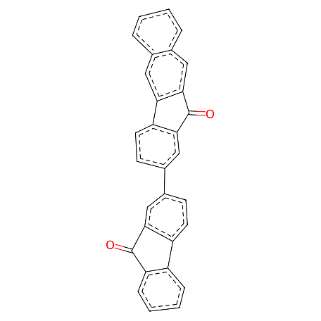 O=C1c2ccccc2-c2ccc(-c3ccc4c(c3)C(=O)c3cc5ccccc5cc3-4)cc21